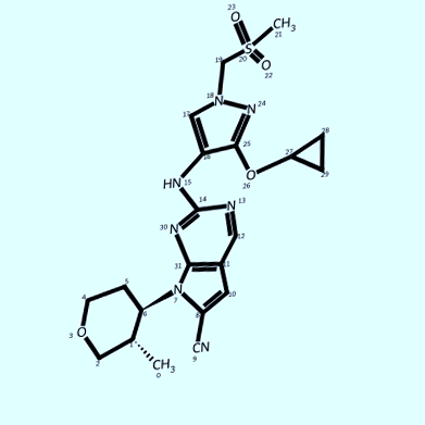 C[C@@H]1COCC[C@H]1n1c(C#N)cc2cnc(Nc3cn(CS(C)(=O)=O)nc3OC3CC3)nc21